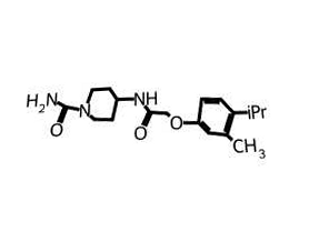 Cc1cc(OCC(=O)NC2CCN(C(N)=O)CC2)ccc1C(C)C